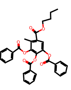 CCCCOC(=O)c1cc(OC(=O)c2ccccc2)c(OC(=O)c2ccccc2)c(OC(=O)c2ccccc2)c1C